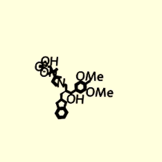 COc1cc([C@@H](O)[C@@H](CC2Cc3ccccc3C2)Cn2ccc(C(C)(C)CP(=O)(O)O)c2)cc(OC)c1C